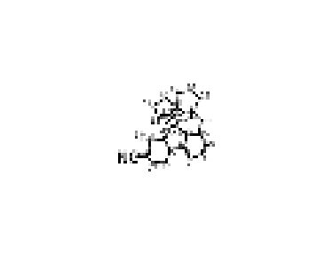 N#CC1=C(F)CC(C2=CC=CC(CN3CCCC4(C=CCC4)C3)C2C2CC2)C=C1